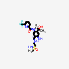 CC(C)(O)C1=CC(=N)/C(=C\NCCS(C)(=N)=O)C=C1NC(=O)c1cccc(C(F)(F)F)n1